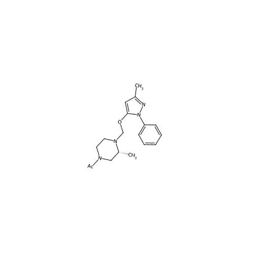 CC(=O)N1CCN(COc2cc(C)nn2-c2ccccc2)[C@H](C)C1